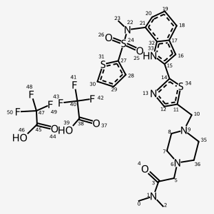 CN(C)C(=O)CN1CCN(Cc2cnc(-c3cc4cccc(N(C)S(=O)(=O)c5cccs5)c4[nH]3)s2)CC1.O=C(O)C(F)(F)F.O=C(O)C(F)(F)F